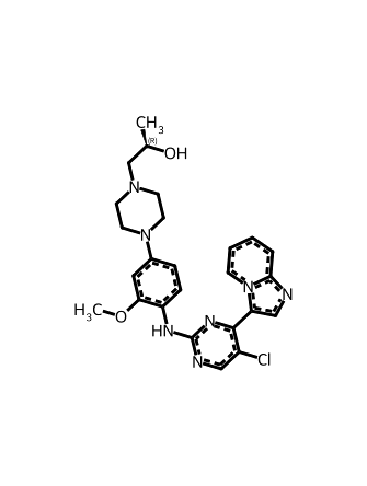 COc1cc(N2CCN(C[C@@H](C)O)CC2)ccc1Nc1ncc(Cl)c(-c2cnc3ccccn23)n1